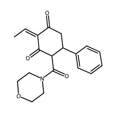 C/C=C1/C(=O)CC(c2ccccc2)C(C(=O)N2CCOCC2)C1=O